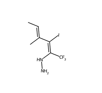 C/C=C(C)/C(I)=C(\NN)C(F)(F)F